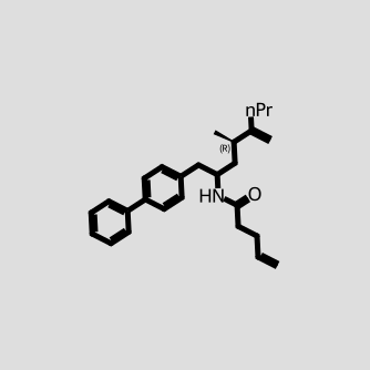 C=CCCC(=O)NC(Cc1ccc(-c2ccccc2)cc1)C[C@@H](C)C(=C)CCC